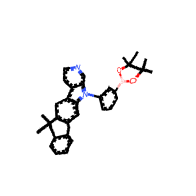 CC1(C)c2ccccc2-c2cc3c(cc21)c1ccncc1n3-c1cccc(B2OC(C)(C)C(C)(C)O2)c1